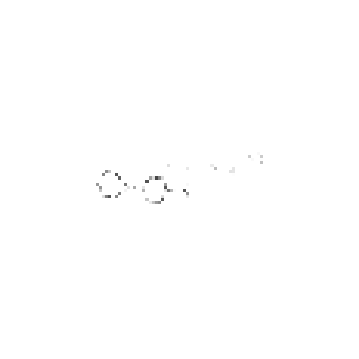 O=C(CN1CCc2cc(-c3ccccc3)ccc2C1=O)NCC1CC1